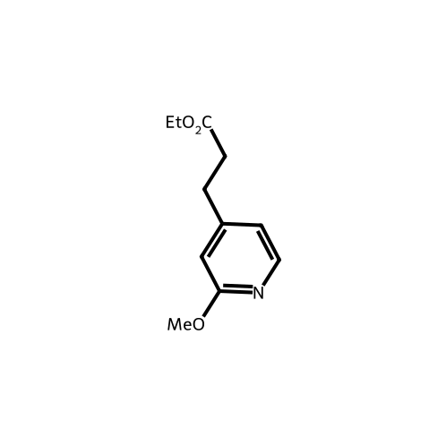 CCOC(=O)CCc1ccnc(OC)c1